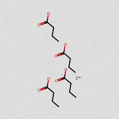 CCCC(=O)[O-].CCCC(=O)[O-].CCCC(=O)[O-].CCCC(=O)[O-].[C+4]